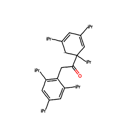 CC(C)C1=CC(C(C)C)=CC(C(=O)Cc2c(C(C)C)cc(C(C)C)cc2C(C)C)(C(C)C)[CH]1